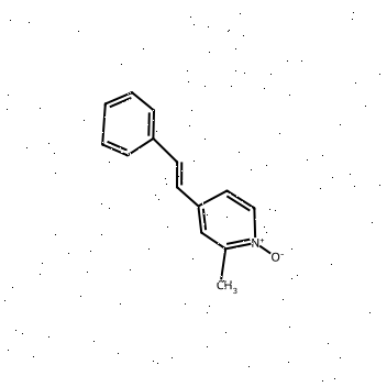 Cc1cc(/C=C/c2ccccc2)cc[n+]1[O-]